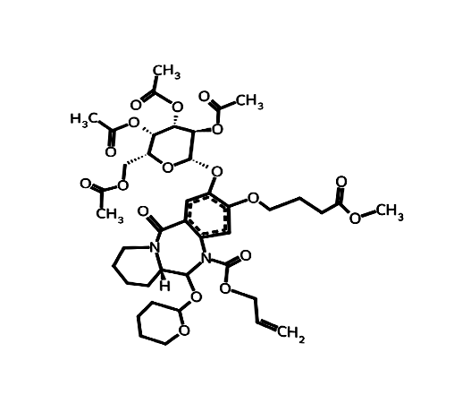 C=CCOC(=O)N1c2cc(OCCCC(=O)OC)c(O[C@@H]3O[C@H](COC(C)=O)[C@H](OC(C)=O)[C@H](OC(C)=O)[C@H]3OC(C)=O)cc2C(=O)N2CCCC[C@H]2C1OC1CCCCO1